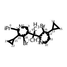 CC(C)c1ncc(C(C)(C)c2nccc(C3CC3)c2Br)c(Br)c1C1CC1